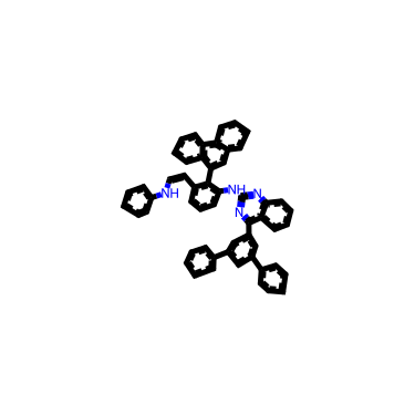 C(=C/c1cccc(Nc2nc(-c3cc(-c4ccccc4)cc(-c4ccccc4)c3)c3ccccc3n2)c1-c1cc2ccccc2c2ccccc12)/Nc1ccccc1